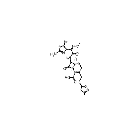 CO/N=C(\C(=O)NC1C(=O)N2C(C(=O)O)=C(CSc3nnc(C)s3)CS[C@H]12)c1nc(N)sc1Br